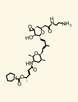 CC(C=C[C@H]1O[C@H](CC(=O)NCCN)C[C@@]2(CO2)[C@@H]1O)=CC[C@@H]1O[C@H](C)[C@H](NC(=O)C=C[C@H](C)OC(=O)N2CCCCC2)C[C@@H]1C